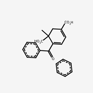 CC1(C(=O)O)CC(C(=O)O)=CC=C1C(=O)c1ccccc1.c1ccccc1